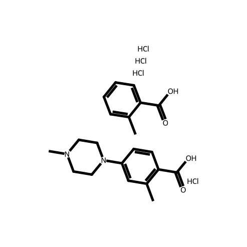 Cc1cc(N2CCN(C)CC2)ccc1C(=O)O.Cc1ccccc1C(=O)O.Cl.Cl.Cl.Cl